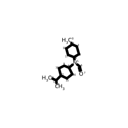 CC1CCC(N(C=O)C2CCC(C(C)C)CC2)CC1